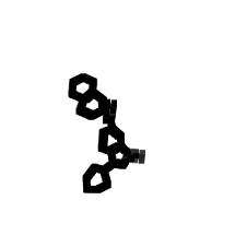 c1cc2c(cc1Nc1ccc3c(C4CCCCC4)c[nH]c3c1)CCCC2